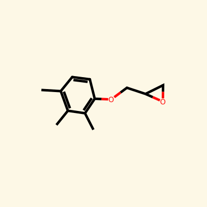 Cc1ccc(OCC2CO2)c(C)c1C